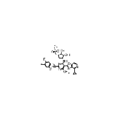 Cc1nc(NCc2cc(F)c(F)cc2F)nc(N[C@@H]2C[C@H](CS(C)(=O)=O)[C@@H](O)[C@H]2O)c1-c1nc2c(C3CC3)nccc2s1